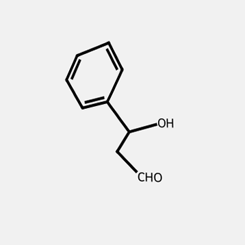 O=CCC(O)c1ccccc1